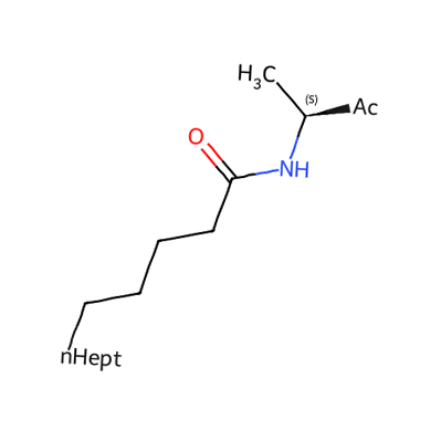 [CH2]C(=O)[C@H](C)NC(=O)CCCCCCCCCCC